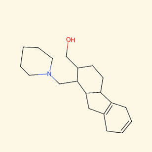 OCC1CCC2C3=C(CC=CC3)CC2C1CN1CCCCC1